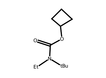 CCN(C(=O)OC1CCC1)C(C)(C)C